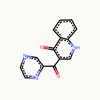 O=C(c1cnccn1)c1c[nH]c2ccccc2c1=O